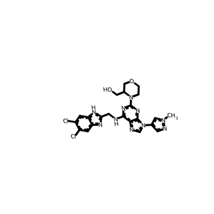 Cn1cc(-n2cnc3c(NCc4nc5cc(Cl)c(Cl)cc5[nH]4)nc(N4CCOCC4CO)nc32)cn1